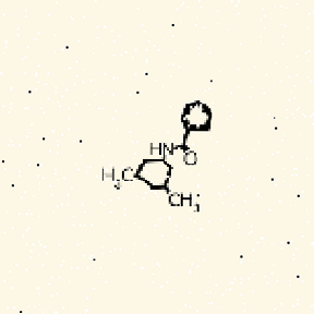 CC1CC(C)CC(NC(=O)c2ccccc2)C1